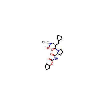 O=CN(O)C[C@@H](CC1CCCC1)C(=O)N1CCC[C@H]1C(=O)NC(=O)OC1CCCC1